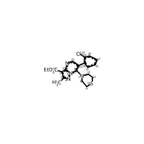 CCOC(=O)c1c(C)nn2c(N3CCSCC3)c(-c3ccccc3Cl)cnc12